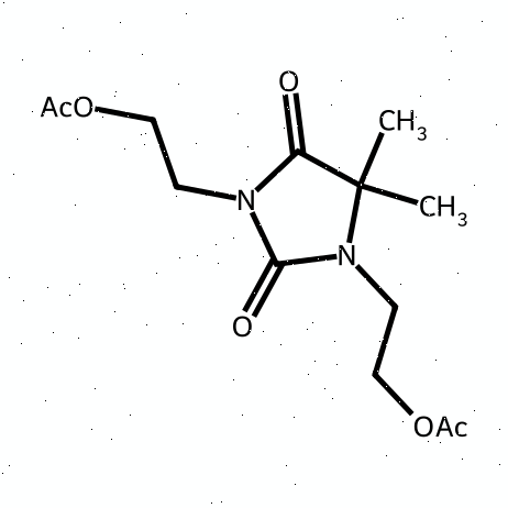 CC(=O)OCCN1C(=O)N(CCOC(C)=O)C(C)(C)C1=O